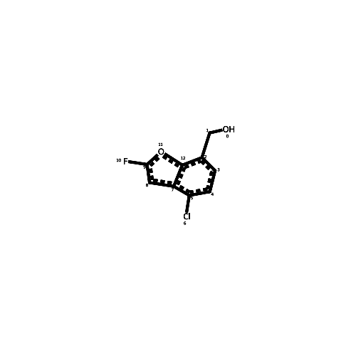 OCc1ccc(Cl)c2cc(F)oc12